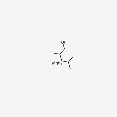 CC(C)CC(C)CO.[MgH2]